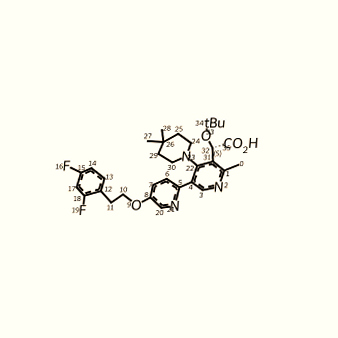 Cc1ncc(-c2ccc(OCCc3ccc(F)cc3F)cn2)c(N2CCC(C)(C)CC2)c1[C@H](OC(C)(C)C)C(=O)O